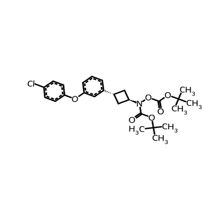 CC(C)(C)OC(=O)ON(C(=O)OC(C)(C)C)[C@H]1C[C@H](c2cccc(Oc3ccc(Cl)cc3)c2)C1